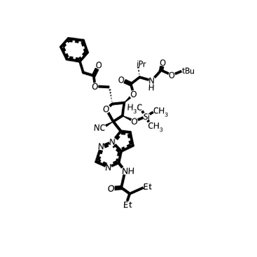 CCC(CC)C(=O)Nc1ncnn2c([C@]3(C#N)O[C@H](COC(=O)Cc4ccccc4)[C@@H](OC(=O)[C@@H](NC(=O)OC(C)(C)C)C(C)C)[C@H]3O[Si](C)(C)C)ccc12